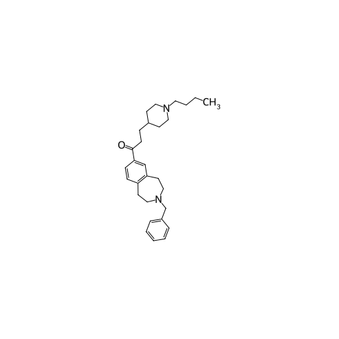 CCCCN1CCC(CCC(=O)c2ccc3c(c2)CCN(Cc2ccccc2)CC3)CC1